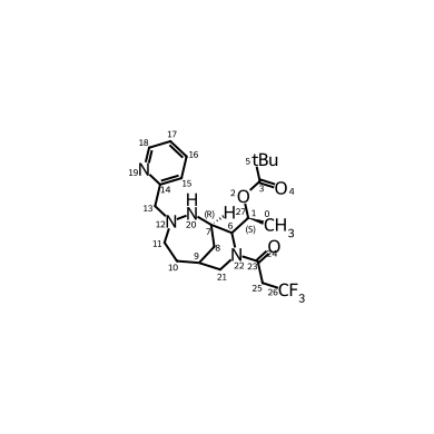 C[C@H](OC(=O)C(C)(C)C)C1[C@H]2CC(CCN(Cc3ccccn3)N2)CN1C(=O)CC(F)(F)F